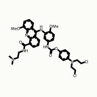 COc1ccc(NC(=O)Oc2ccc(N(CCCl)CCCl)cc2)cc1Nc1c2cccc(OC)c2nc2c(C(=O)NCCN(C)C)cccc12